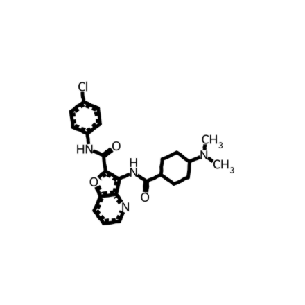 CN(C)C1CCC(C(=O)Nc2c(C(=O)Nc3ccc(Cl)cc3)oc3cccnc23)CC1